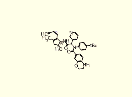 C#C/C=C\C1=C(C)C[C@H](O)[C@@H]1NC(=O)C(c1cccnc1)N(C(=O)c1ccc2c(c1)OCCN2)c1ccc(C(C)(C)C)cc1